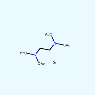 CC(=O)ON(CCN(OC(C)=O)OC(C)=O)OC(C)=O.[Sr]